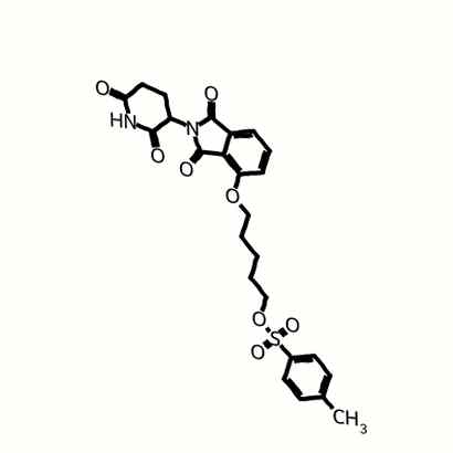 Cc1ccc(S(=O)(=O)OCCCCCOc2cccc3c2C(=O)N(C2CCC(=O)NC2=O)C3=O)cc1